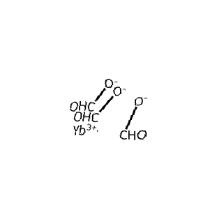 O=C[O-].O=C[O-].O=C[O-].[Yb+3]